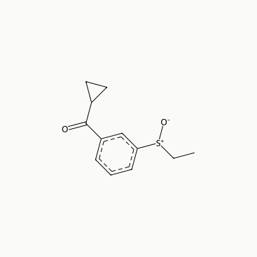 CC[S+]([O-])c1cccc(C(=O)C2CC2)c1